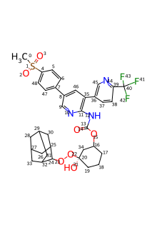 CS(=O)(=O)c1ccc(-c2cnc(NC(=O)OC3CCC[C@@](O)(OOC4C5CC6CC(C5)CC4C6)C3)c(-c3ccc(C(F)(F)F)nc3)c2)cc1